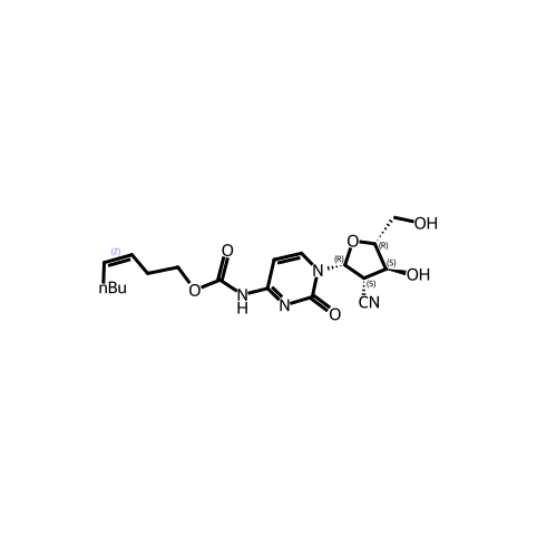 CCCC/C=C\CCOC(=O)Nc1ccn([C@@H]2O[C@H](CO)[C@@H](O)[C@@H]2C#N)c(=O)n1